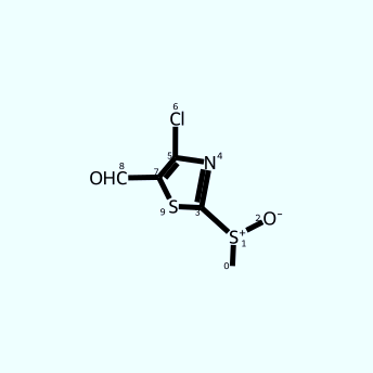 C[S+]([O-])c1nc(Cl)c(C=O)s1